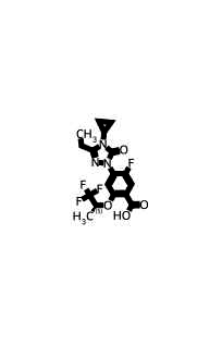 CCc1nn(-c2cc(O[C@@H](C)C(F)(F)F)c(C(=O)O)cc2F)c(=O)n1C1CC1